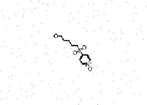 [O]CCCCCS(=O)(=O)c1cc[n+]([O-])cc1